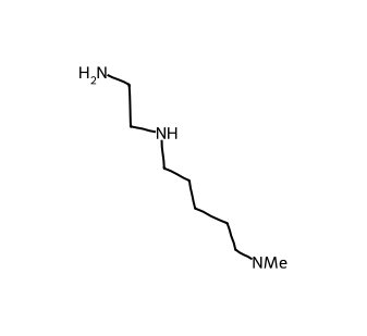 CNCCCCCNCCN